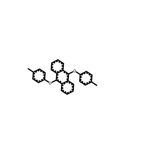 Cc1ccc(Oc2c3ccccc3c(Oc3ccc(C)cc3)c3ccccc23)cc1